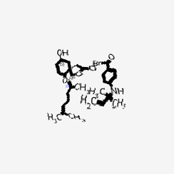 C=CC(C)(C)Nc1ccc(C(=O)Br)cc1.CC(C)=CCC/C(C)=C/[C@H]1OC(=O)C[C@]12C[C@H](O)C=CC2=O